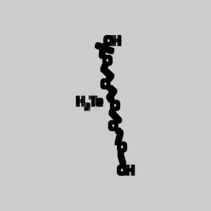 CC(C)(O)COCCOCCOCCOCCOCCO.[TeH2]